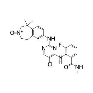 CNC(=O)c1cccc(F)c1Nc1nc(Nc2ccc3c(c2)CC[N+](=O)CC3(C)C)ncc1Cl